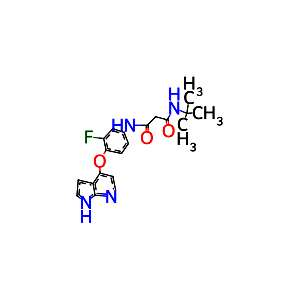 CC(C)(C)NC(=O)CC(=O)Nc1ccc(Oc2ccnc3[nH]ccc23)c(F)c1